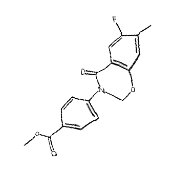 COC(=O)c1ccc(N2COc3cc(C)c(F)cc3C2=O)cc1